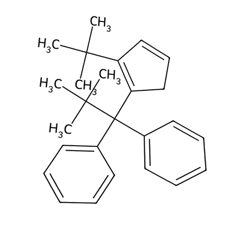 CC(C)(C)C1=C(C(c2ccccc2)(c2ccccc2)C(C)(C)C)CC=C1